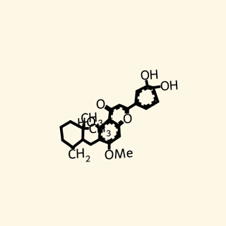 C=C1CCCC(C)(C)C1Cc1c(OC)cc2oc(-c3ccc(O)c(O)c3)cc(=O)c2c1O